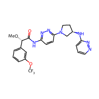 CO[C@H](C(=O)Nc1ccc(N2CC[C@@H](Nc3cccnn3)C2)nn1)c1cccc(OC(F)(F)F)c1